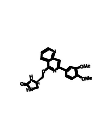 COc1ccc(-c2cc3ncccc3c(OC[C@H]3CNC(=O)N3)n2)cc1OC